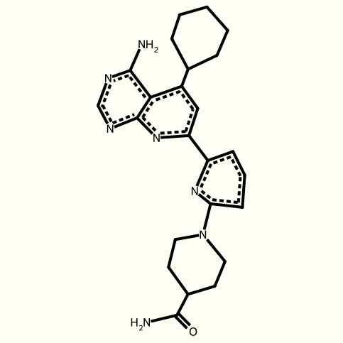 NC(=O)C1CCN(c2cccc(-c3cc(C4CCCCC4)c4c(N)ncnc4n3)n2)CC1